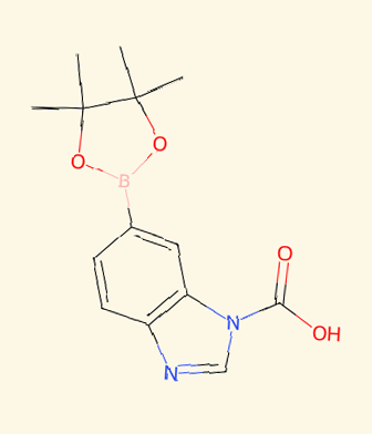 CC1(C)OB(c2ccc3ncn(C(=O)O)c3c2)OC1(C)C